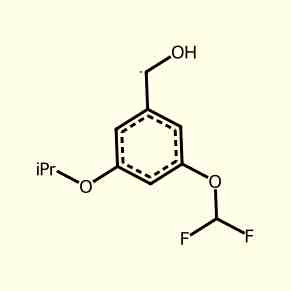 CC(C)Oc1cc([CH]O)cc(OC(F)F)c1